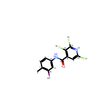 Cc1ccc(NC(=O)c2cc(F)nc(F)c2F)cc1I